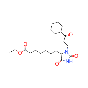 CCOC(=O)CCCCCCC1C(=O)NC(=O)N1CCC(=O)C1CCCCC1